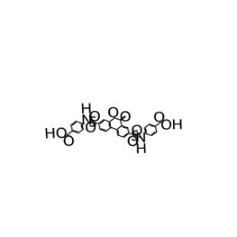 O=C(O)c1ccc(NS(=O)(=O)c2ccc3c(c2)C(=O)C(=O)c2cc(S(=O)(=O)Nc4ccc(C(=O)O)cc4)ccc2-3)cc1